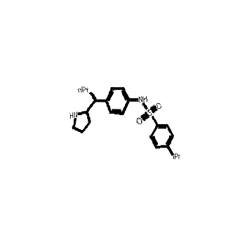 CCCC(c1ccc(NS(=O)(=O)c2ccc(C(C)C)cc2)cc1)C1CCCN1